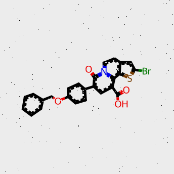 O=C(O)c1cc(-c2ccc(OCc3ccccc3)cc2)c(=O)n2ccc3cc(Br)sc3c12